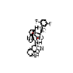 C[C@@H](Nc1cc(F)ccc1F)C(=O)N1[C@@H]2CC[C@H]([C@@H]1C(=O)N[C@H](C#N)C[C@@H]1CCCNC1=O)C(F)(F)C2